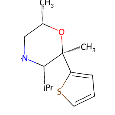 CC(C)C1[N]C[C@H](C)O[C@@]1(C)c1cccs1